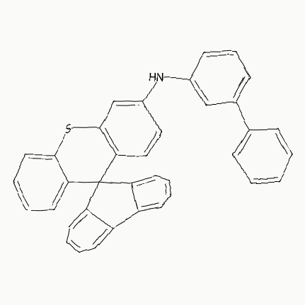 c1ccc(-c2cccc(Nc3ccc4c(c3)Sc3ccccc3C43c4ccccc4-c4ccccc43)c2)cc1